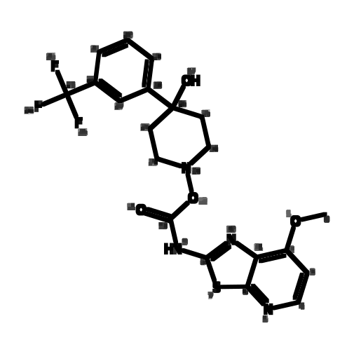 COc1ccnc2sc(NC(=O)ON3CCC(O)(c4cccc(C(F)(F)F)c4)CC3)nc12